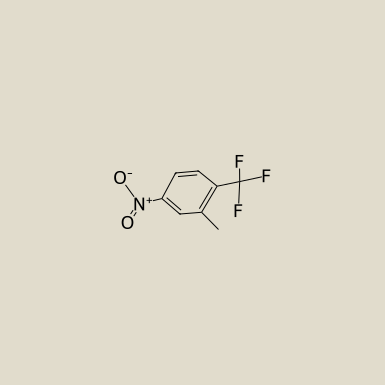 Cc1cc([N+](=O)[O-])ccc1C(F)(F)F